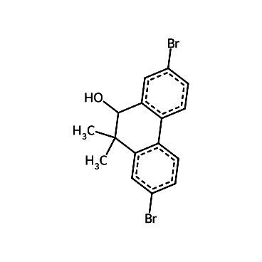 CC1(C)c2cc(Br)ccc2-c2ccc(Br)cc2C1O